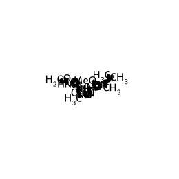 C=CC(=O)Nc1cccc(NC(=O)N(C)c2ccnc(Nc3ccc(N(C)CCN(C)C)cc3OC)n2)c1